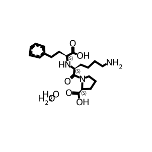 NCCCC[C@H](N[C@@H](CCc1ccccc1)C(=O)O)C(=O)N1CCC[C@H]1C(=O)O.O.O